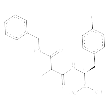 Cc1ccc(C[C@H](NC(=O)C(C)C(=O)NCc2ccccc2)B(O)O)cc1